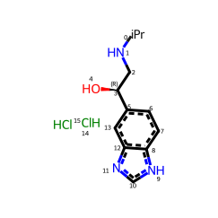 CC(C)NC[C@H](O)c1ccc2[nH]cnc2c1.Cl.Cl